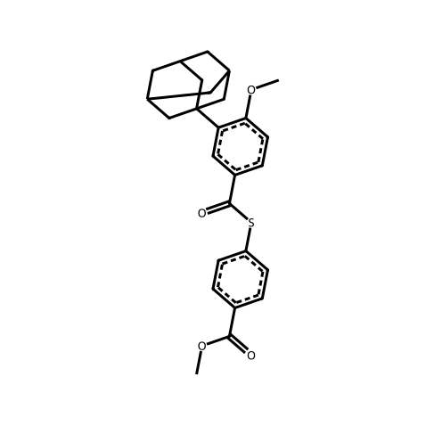 COC(=O)c1ccc(SC(=O)c2ccc(OC)c(C34CC5CC(CC(C5)C3)C4)c2)cc1